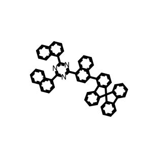 c1ccc2c(c1)-c1ccccc1C21c2ccccc2-c2c(-c3ccc(-c4nc(-c5cccc6ccccc56)nc(-c5cccc6ccccc56)n4)c4ccccc34)cccc21